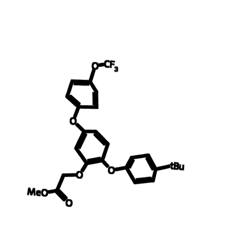 COC(=O)COc1cc(Oc2ccc(OC(F)(F)F)cc2)ccc1Oc1ccc(C(C)(C)C)cc1